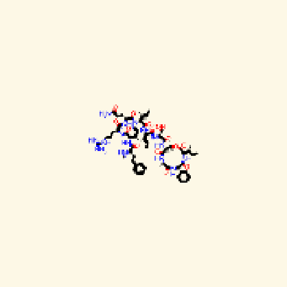 CC[C@@H](C)[C@@H](NC(=O)[C@@H](CCC(N)=O)NC(=O)[C@H](CCCNC(=N)N)NC(=O)[C@@H](NC(=O)[C@@H](CCc1ccccc1)NC)[C@@H](C)CC)C(=O)N[C@H](C(=O)N[C@@H](CO)C(=O)N[C@H]1C(=O)N[C@@H](C)C(=O)N[C@@H](C2CCCCC2)C(=O)N[C@@H]([C@@H](C)CC)C(=O)O[C@H]1C)[C@@H](C)CC